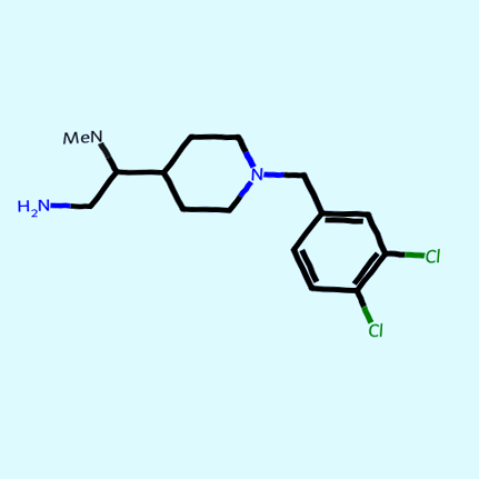 CNC(CN)C1CCN(Cc2ccc(Cl)c(Cl)c2)CC1